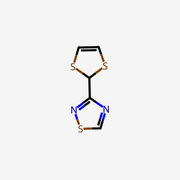 C1=CSC(c2ncsn2)S1